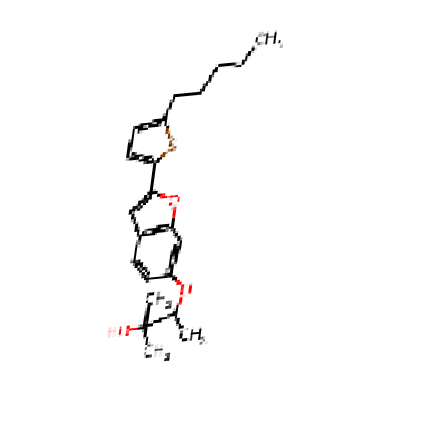 CCCCCc1ccc(-c2cc3ccc(OC(C)C(C)(C)O)cc3o2)s1